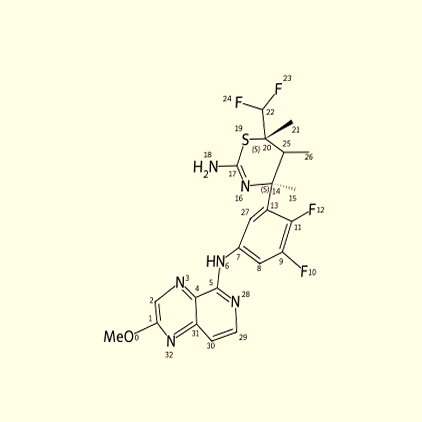 COc1cnc2c(Nc3cc(F)c(F)c([C@@]4(C)N=C(N)S[C@](C)(C(F)F)C4C)c3)nccc2n1